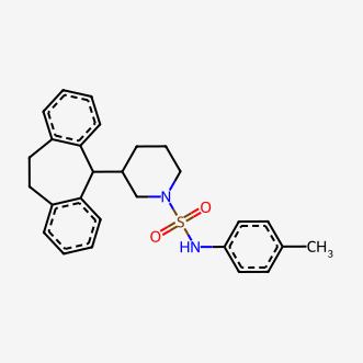 Cc1ccc(NS(=O)(=O)N2CCCC(C3c4ccccc4CCc4ccccc43)C2)cc1